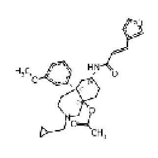 COc1cccc([C@@]23CCN(CC4CC4)C[C@@]2(OC(C)=O)CC[C@@H](NC(=O)C=Cc2ccoc2)C3)c1